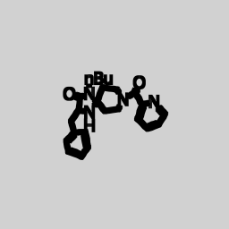 CCCCN1C(=O)C(Cc2ccccc2)NC12CCN(C(=O)c1ccccn1)CC2